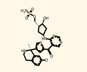 C[C@@]1(c2csc(C(=O)c3cncnc3N[C@@H]3C[C@H](COS(N)(=O)=O)[C@@H](O)C3)c2)NCCc2ccc(Cl)cc21